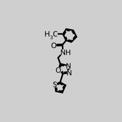 Cc1ccccc1C(=O)NCc1nnc(-c2cccs2)o1